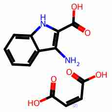 Nc1c(C(=O)O)[nH]c2ccccc12.O=C(O)/C=C\C(=O)O